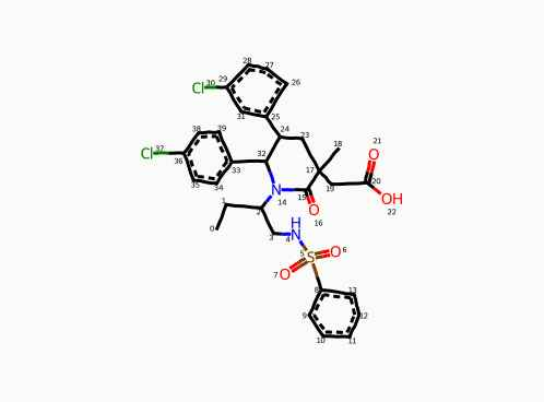 CCC(CNS(=O)(=O)c1ccccc1)N1C(=O)C(C)(CC(=O)O)CC(c2cccc(Cl)c2)C1c1ccc(Cl)cc1